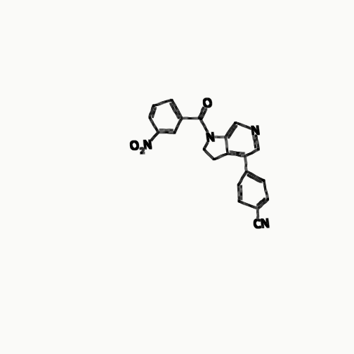 N#Cc1ccc(-c2cncc3c2CCN3C(=O)c2cccc([N+](=O)[O-])c2)cc1